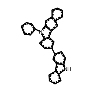 c1ccc(-n2c3ccc(-c4ccc5[nH]c6ccccc6c5c4)cc3c3cc4ccccc4cc32)cc1